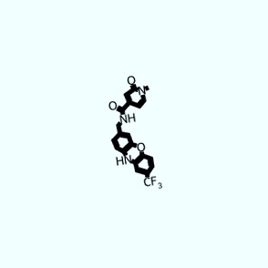 Cn1ccc(C(=O)NCc2ccc3c(c2)Oc2ccc(C(F)(F)F)cc2N3)cc1=O